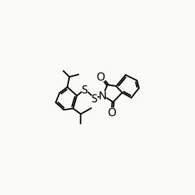 CC(C)c1cccc(C(C)C)c1SSN1C(=O)c2ccccc2C1=O